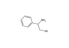 CC(C)CC(N)c1ccccc1